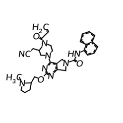 C=CC(=O)N1CCN(c2nc(OCC3CCCN3C)nc3c2CN(C(=O)Nc2cccc4ccccc24)C3)CC1CC#N